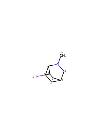 CN1CC2CCC1C(I)C2